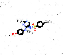 COc1ccc(S(=O)(=O)Nc2cnc(C)nc2N(C)c2ccc(O)cc2)cc1